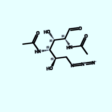 CC(=O)N[C@H]([C@H](O)[C@H](C=O)NC(C)=O)[C@H](O)CN=[N+]=[N-]